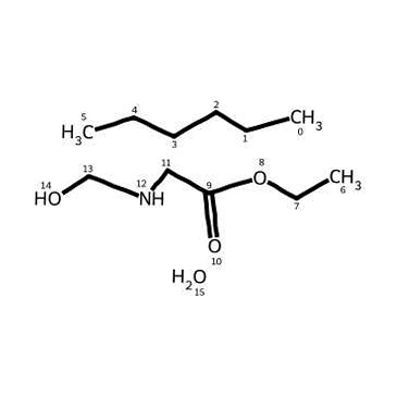 CCCCCC.CCOC(=O)CNCO.O